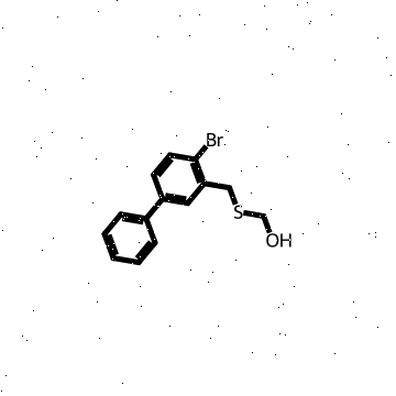 OCSCc1cc(-c2ccccc2)ccc1Br